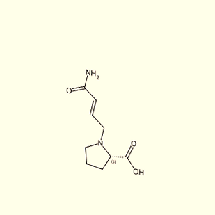 NC(=O)C=CCN1CCC[C@H]1C(=O)O